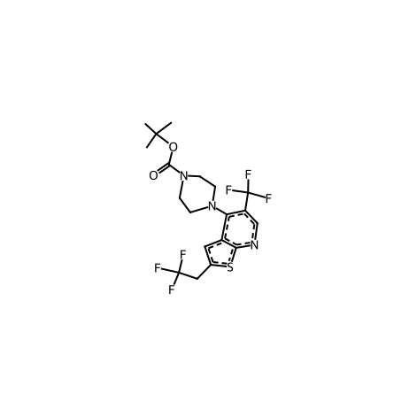 CC(C)(C)OC(=O)N1CCN(c2c(C(F)(F)F)cnc3sc(CC(F)(F)F)cc23)CC1